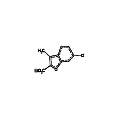 CCOC(=O)c1oc2cc(Cl)ccc2c1C